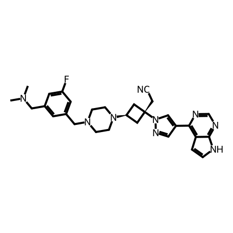 CN(C)Cc1cc(F)cc(CN2CCN([C@H]3C[C@](CC#N)(n4cc(-c5ncnc6[nH]ccc56)cn4)C3)CC2)c1